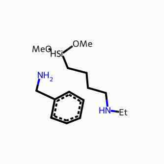 CCNCCCC[SiH](OC)OC.NCc1ccccc1